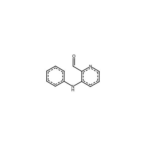 O=Cc1ncccc1Nc1ccccc1